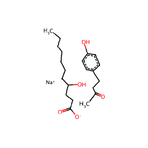 CC(=O)CCc1ccc(O)cc1.CCCCCCCC(O)CCC(=O)[O-].[Na+]